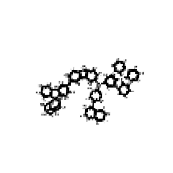 c1ccc([Si](c2ccccc2)(c2ccccc2)c2ccc(N(c3ccc(-c4cccc5ccccc45)cc3)c3ccc4sc5ccc(-c6ccc7c(c6)-c6ccccc6C76C7CC8CC(C7)CC6C8)cc5c4c3)cc2)cc1